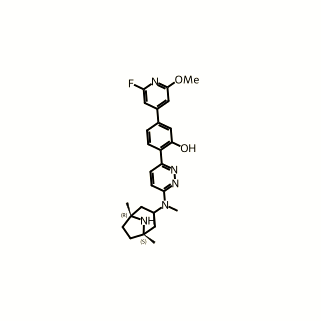 COc1cc(-c2ccc(-c3ccc(N(C)C4C[C@]5(C)CC[C@](C)(C4)N5)nn3)c(O)c2)cc(F)n1